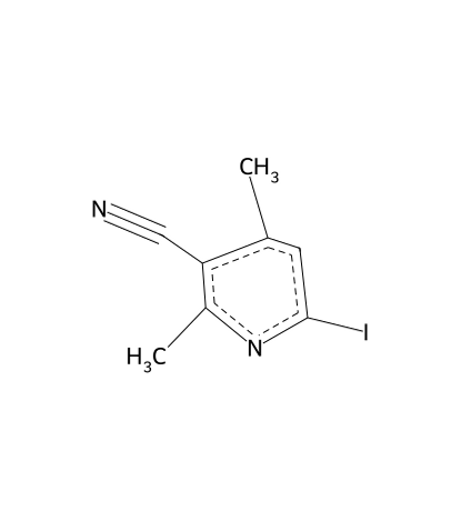 Cc1cc(I)nc(C)c1C#N